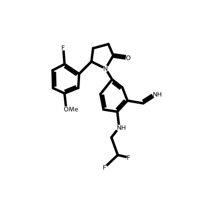 COc1ccc(F)c(C2CCC(=O)N2c2ccc(NCC(F)F)c(C=N)c2)c1